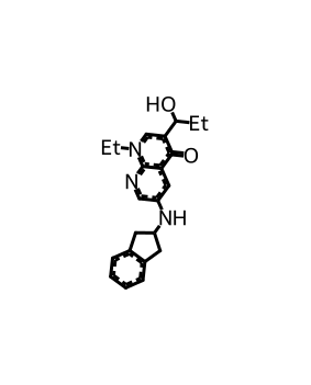 CCC(O)c1cn(CC)c2ncc(NC3Cc4ccccc4C3)cc2c1=O